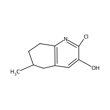 CC1CCc2nc(Cl)c(O)cc2C1